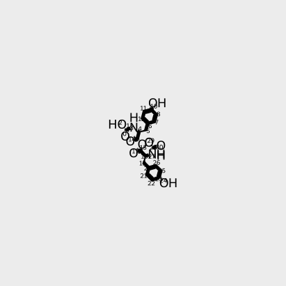 O=C(O)N[C@@H](Cc1ccc(O)cc1)C(=O)OC(=O)[C@H](Cc1ccc(O)cc1)NC(=O)O